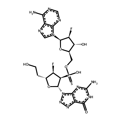 Nc1nc2c(nnn2[C@@H]2O[C@H](CCO)[C@@H](F)[C@H]2P(O)(=S)OC[C@H]2O[C@@H](n3cnc4c(N)ncnc43)[C@@H](F)[C@@H]2O)c(=O)[nH]1